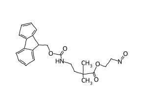 CC(C)(CCNC(=O)OCC1c2ccccc2-c2ccccc21)C(=O)OCCN=O